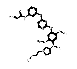 C=CC(=O)Nc1cccc(Oc2ccnc(Nc3cc(OC)c(N(C)[C@H]4CCN(CCOC)C4)cc3OC)n2)c1